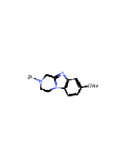 COc1ccc2c(c1)nc1n2CCN(C(C)C)C1